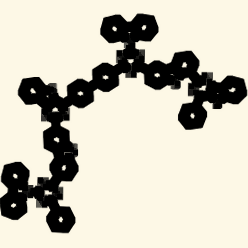 c1ccc(-c2nc(-c3ccc4sc5cc(-c6nc(-c7ccc(-c8ccc(-c9nc(-c%10ccc%11sc%12c(-c%13nc(-c%14ccccc%14)c%14sc%15ccccc%15c%14n%13)cccc%12c%11c%10)nc(-n%10c%11ccccc%11c%11ccccc%11%10)n9)cc8)cc7)c7sc8ccccc8c7n6)ccc5c4c3)nc(-n3c4ccccc4c4ccccc43)n2)cc1